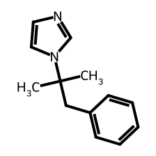 CC(C)(Cc1ccccc1)n1ccnc1